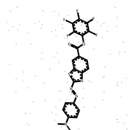 CN(C)c1ccc(/N=N/c2nc3ccc(C(=O)Oc4c(F)c(F)c(F)c(F)c4F)cc3s2)cc1